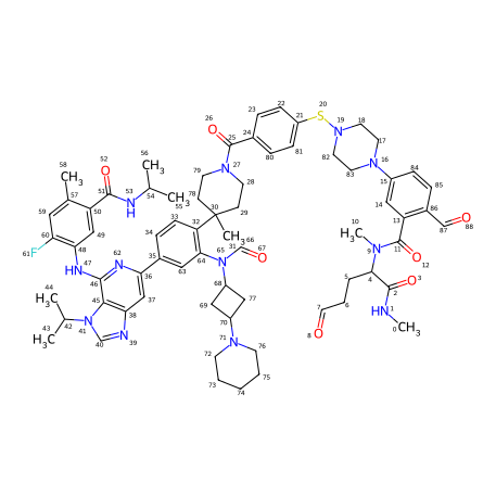 CNC(=O)C(CCC=O)N(C)C(=O)c1cc(N2CCN(Sc3ccc(C(=O)N4CCC(C)(c5ccc(-c6cc7ncn(C(C)C)c7c(Nc7cc(C(=O)NC(C)C)c(C)cc7F)n6)cc5N(C=O)C5CC(N6CCCCC6)C5)CC4)cc3)CC2)ccc1C=O